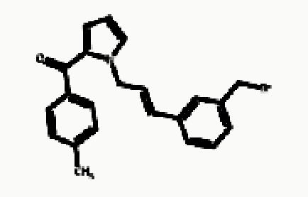 Cc1ccc(C(=O)c2cccn2C/C=C/c2cccc(CBr)c2)cc1